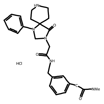 CNC(=O)Cc1cccc(CNC(=O)CN2CN(c3ccccc3)C3(CCNCC3)C2=O)c1.Cl